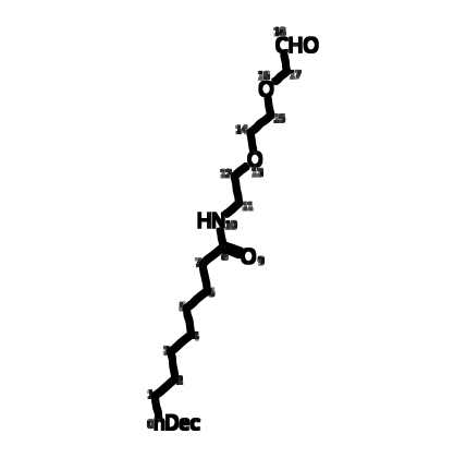 CCCCCCCCCCCCCCCCCC(=O)NCCOCCOCC=O